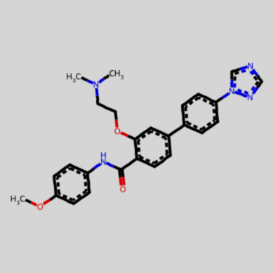 COc1ccc(NC(=O)c2ccc(-c3ccc(-n4cncn4)cc3)cc2OCCN(C)C)cc1